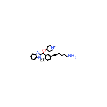 CCn1c(C(OC2CCN(C)CC2)c2cccc(C#CCCCCN)c2)nc2ccccc21